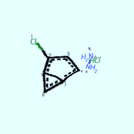 Cl.Clc1ccc2cc1-2.NN